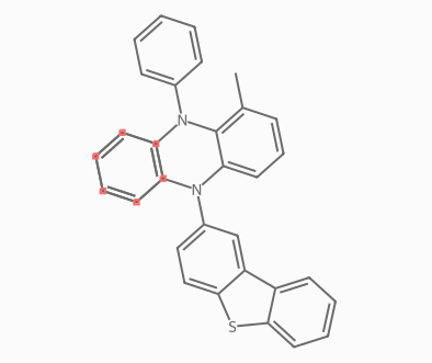 Cc1cccc(N(c2ccccc2)c2ccc3sc4ccccc4c3c2)c1N(c1ccccc1)c1ccccc1